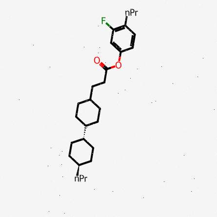 CCCc1ccc(OC(=O)CCC2CCC([C@H]3CC[C@H](CCC)CC3)CC2)cc1F